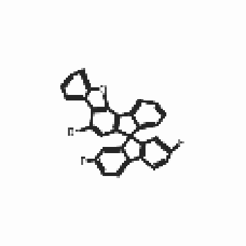 Fc1ccc2c(c1)C1(c3cc(F)ccc3-2)c2ccccc2-c2c1cc(Br)c1c2oc2ccccc21